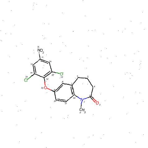 CN1C(=O)CCCc2cc(Oc3c(Cl)cc([N+](=O)[O-])cc3Cl)ccc21